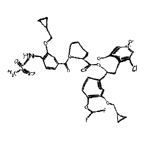 CS(=O)(=O)Nc1ccc(C(=O)N2CCC[C@H]2C(=O)O[C@@H](Cc2c(Cl)c[n+]([O-])cc2Cl)c2ccc(OC(F)F)c(OCC3CC3)c2)cc1OCC1CC1